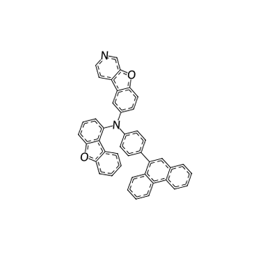 c1ccc2c(c1)cc(-c1ccc(N(c3ccc4oc5cnccc5c4c3)c3cccc4oc5ccccc5c34)cc1)c1ccccc12